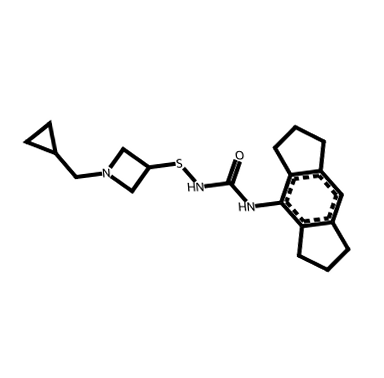 O=C(NSC1CN(CC2CC2)C1)Nc1c2c(cc3c1CCC3)CCC2